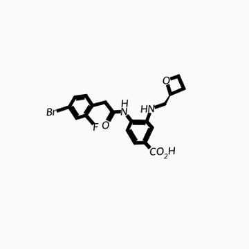 O=C(Cc1ccc(Br)cc1F)Nc1ccc(C(=O)O)cc1NC[C@@H]1CCO1